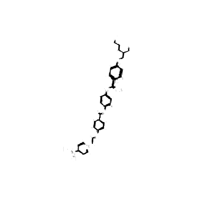 CCCCC(CC)COc1ccc(C(=O)Oc2ccc(OC(=O)c3ccc(OCC[n+]4ccc(N(C)C)cc4)cc3)cc2)cc1